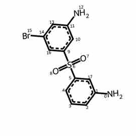 Nc1cccc(S(=O)(=O)c2cc(N)cc(Br)c2)c1